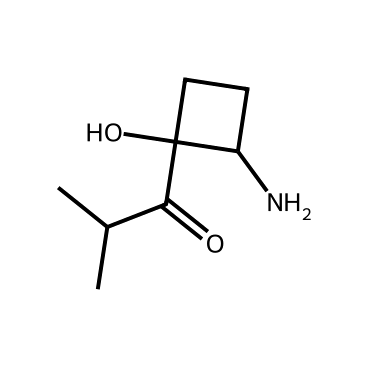 CC(C)C(=O)C1(O)CCC1N